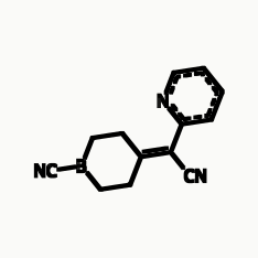 N#CB1CCC(=C(C#N)c2ccccn2)CC1